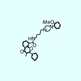 COc1ccccc1N1CCN(CCCCNC(=O)c2cccc3c(=O)c(C)c(-c4ccccc4)oc23)CC1